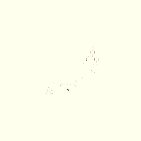 CN(C)c1ccc2c(-c3cc(C(=O)NCCN4C(=O)CC(SCCNC(=O)CCNC(=O)C(O)C(C)(C)COP(=O)(O)OP(=O)(O)OCC5OC(n6cnc7c(N)ncnc76)C(O)C5OP(=O)(O)O)C4=O)ccc3C=O)c3ccc(=[N+](C)C)cc-3oc2c1